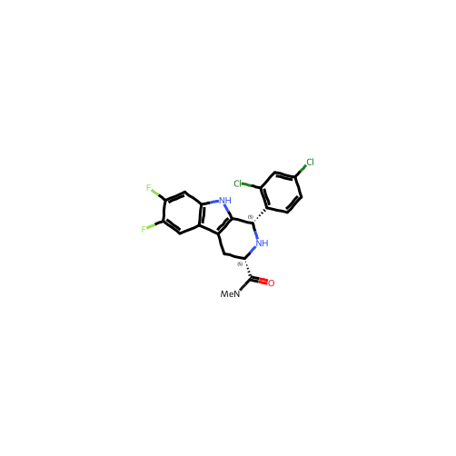 CNC(=O)[C@@H]1Cc2c([nH]c3cc(F)c(F)cc23)[C@H](c2ccc(Cl)cc2Cl)N1